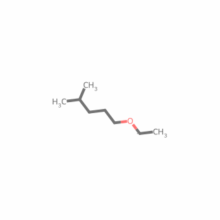 C[CH]OCCCC(C)C